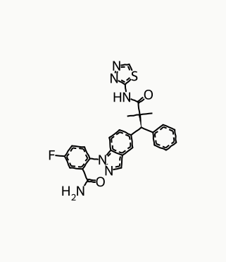 CC(C)(C(=O)Nc1nncs1)[C@@H](c1ccccc1)c1ccc2c(cnn2-c2ccc(F)cc2C(N)=O)c1